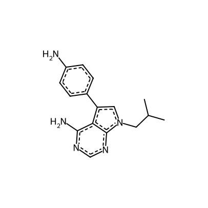 CC(C)Cn1cc(-c2ccc(N)cc2)c2c(N)ncnc21